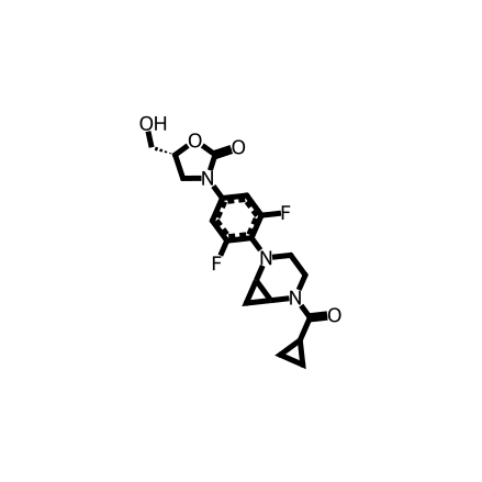 O=C1O[C@@H](CO)CN1c1cc(F)c(N2CCN(C(=O)C3CC3)C3CC32)c(F)c1